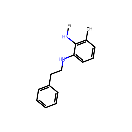 CCNc1c(C)cccc1NCCc1ccccc1